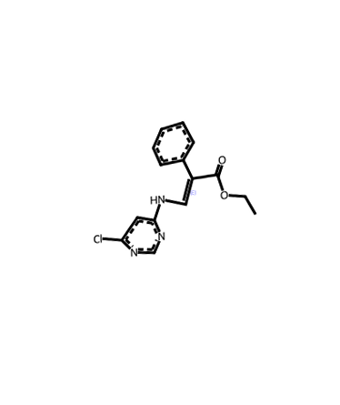 CCOC(=O)/C(=C/Nc1cc(Cl)ncn1)c1ccccc1